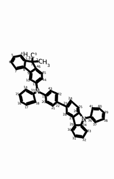 CC1(C)c2ccccc2-c2cc(N(c3ccccc3)c3ccc(-c4ccc5c(c4)c4ccccc4n5-c4ccccc4)cc3)ccc21